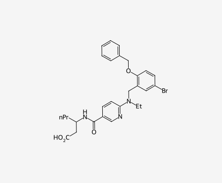 CCCC(CC(=O)O)NC(=O)c1ccc(N(CC)Cc2cc(Br)ccc2OCc2ccccc2)nc1